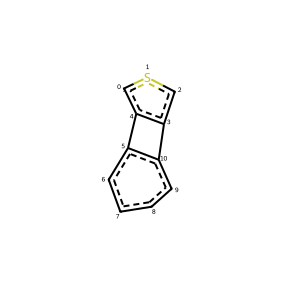 [c]1scc2c1-c1ccccc1-2